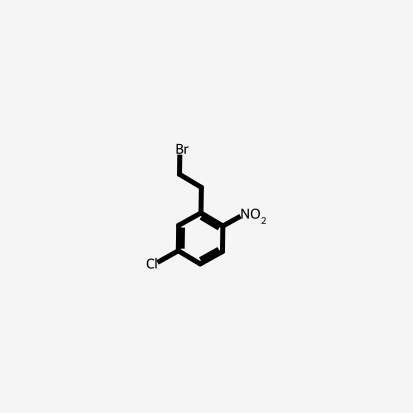 O=[N+]([O-])c1ccc(Cl)cc1CCBr